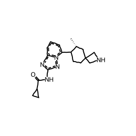 C[C@@H]1CC2(CCC1c1cccc3nc(NC(=O)C4CC4)nn13)CNC2